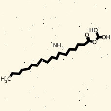 CCCCCCCCCCCCCCCCCC(=O)OC(O)O.N